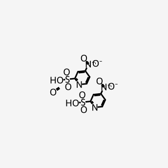 C=O.O=[N+]([O-])c1ccnc(S(=O)(=O)O)c1.O=[N+]([O-])c1ccnc(S(=O)(=O)O)c1